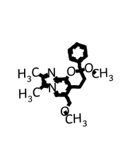 COCc1cn2c(C)c(C)nc2c2c1CCC(OC)(c1ccccc1)O2